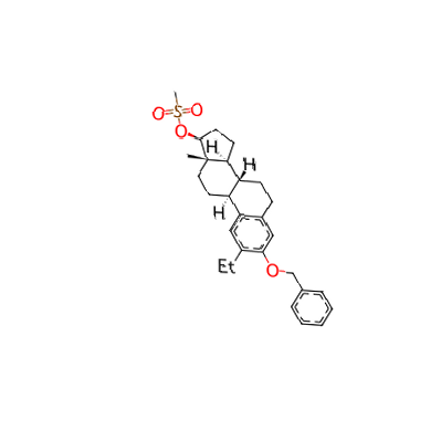 CCc1cc2c(cc1OCc1ccccc1)CC[C@@H]1[C@@H]2CC[C@]2(C)[C@@H](OS(C)(=O)=O)CC[C@@H]12